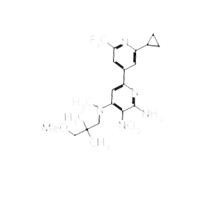 COCC(C)(C)CN(C)c1cc(-c2cc(C3CC3)nc(C(F)(F)F)c2)nc(N)c1[N+](=O)[O-]